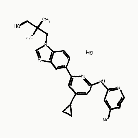 CC(C)(CO)Cn1cnc2cc(-c3cc(C4CC4)cc(Nc4cc(C#N)ccn4)n3)ccc21.Cl